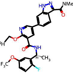 [2H]COc1ncc(-c2ccc3c(C(=O)NC)n[nH]c3c2)cc1C(=O)N[C@H](C)c1cc(OC(F)(F)F)ccc1F